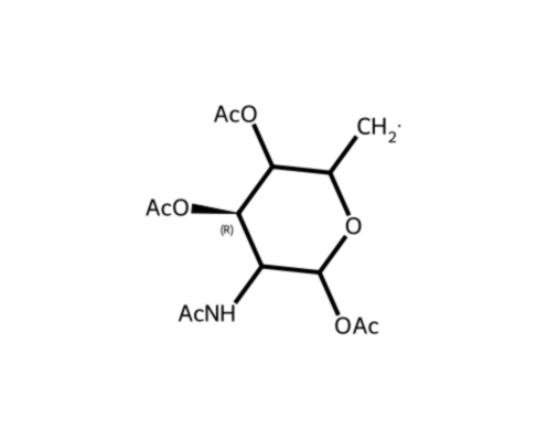 [CH2]C1OC(OC(C)=O)C(NC(C)=O)[C@@H](OC(C)=O)C1OC(C)=O